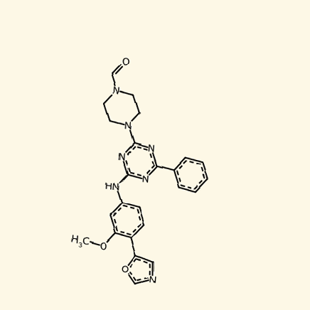 COc1cc(Nc2nc(-c3ccccc3)nc(N3CCN(C=O)CC3)n2)ccc1-c1cnco1